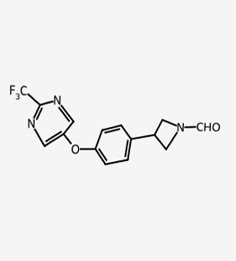 O=CN1CC(c2ccc(Oc3cnc(C(F)(F)F)nc3)cc2)C1